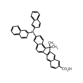 CCOC(=O)c1ccc2cc3c(cc2c1)C(C)(C)c1c-3ccc2cc(N(c3ccc4ccccc4c3)c3ccc4ccccc4c3)ccc12